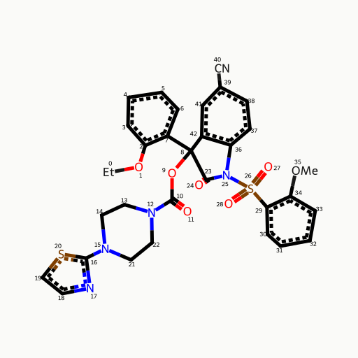 CCOc1ccccc1C1(OC(=O)N2CCN(c3nccs3)CC2)C(=O)N(S(=O)(=O)c2ccccc2OC)c2ccc(C#N)cc21